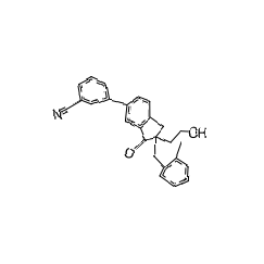 Cc1ccccc1CC1(CCO)Cc2ccc(-c3cccc(C#N)c3)cc2C1=O